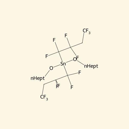 CCCCCCC[O][Sn]([O]CCCCCCC)([C](F)(F)C(F)(F)CC(F)(F)F)[C](F)(F)C(F)(F)CC(F)(F)F